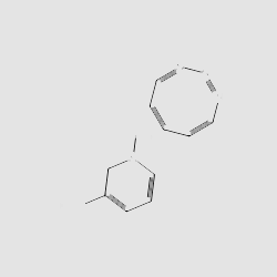 C1=CC=NN=NC=C1.CN1C=CC=C(C(=O)O)C1